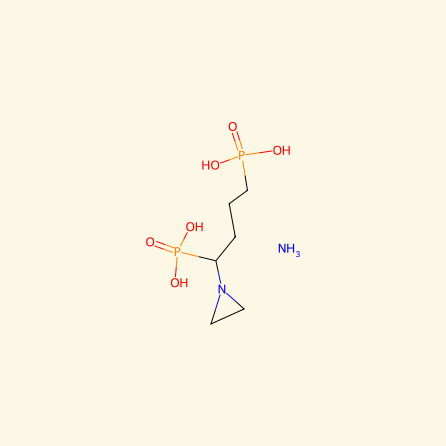 N.O=P(O)(O)CCCC(N1CC1)P(=O)(O)O